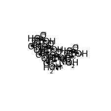 NCN.O=P(O)(O)CP(=O)(O)O.O=P(O)(O)CP(=O)(O)O.O=P(O)(O)CP(=O)(O)O.O=P(O)(O)CP(=O)(O)O